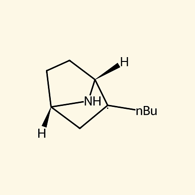 CCCC[C]1C[C@@H]2CC[C@H]1N2